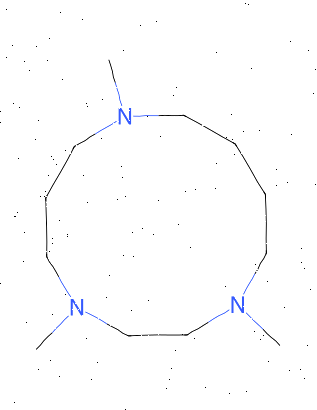 CN1CCCCN(C)CCN(C)CCC1